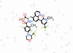 Cc1cc(N2CCOC[C@@H]2C(F)(F)F)cc(F)c1C(=O)N[C@@H](Cc1ccc(-c2cc(C(F)(F)F)cn(C)c2=O)c2ncccc12)C(=O)O